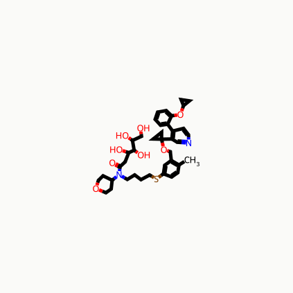 Cc1ccc(SCCCCN(C(=O)CC(O)C(O)C(O)CO)C2CCOCC2)cc1COC1(c2cnccc2-c2ccccc2OC2CC2)CC1